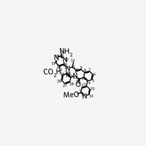 COc1cc(-c2cccc3cc(C(C)Nc4nc(N)ncc4C(=O)O)n(-c4ccccc4)c(=O)c23)ccn1